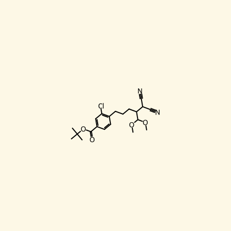 COC(OC)C(CCCc1ccc(C(=O)OC(C)(C)C)cc1Cl)C(C#N)C#N